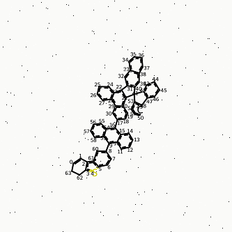 C1=Cc2c(sc3ccc(-c4c5ccccc5c(-c5ccc6c7c(c8ccccc8c6c5)-c5cc6ccccc6cc5C75c6ccccc6-c6ccccc65)c5ccccc45)cc23)CC1